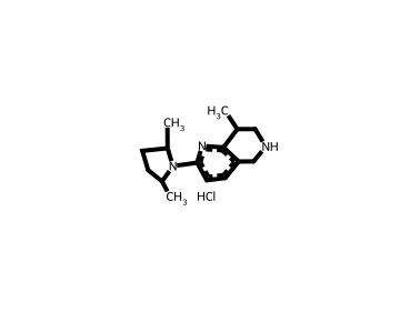 CC1CNCc2ccc(N3C(C)CCC3C)nc21.Cl